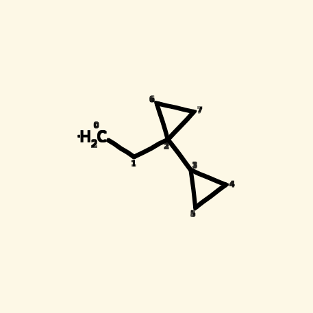 [CH2]CC1(C2CC2)CC1